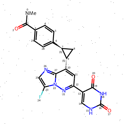 CNC(=O)c1ccc([C@H]2C[C@@H]2c2cc(-c3c[nH]c(=O)[nH]c3=O)nn3c(F)cnc23)cc1